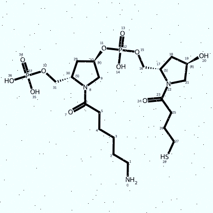 NCCCCCC(=O)N1C[C@H](OP(=O)(O)OC[C@@H]2C[C@@H](O)CN2C(=O)CCCS)C[C@H]1COP(=O)(O)O